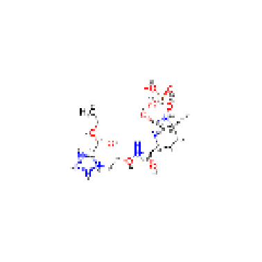 CCOC(=O)c1nnnn1CCONC(=O)[C@@H]1CC[C@@H]2CN1C(=O)N2OS(=O)(=O)O